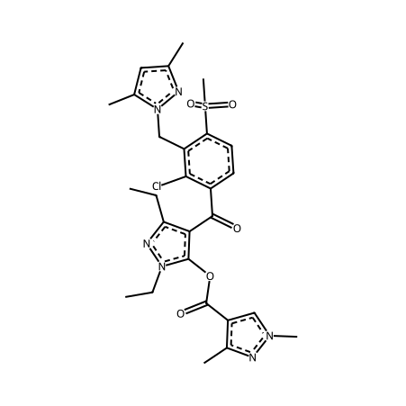 CCc1nn(CC)c(OC(=O)c2cn(C)nc2C)c1C(=O)c1ccc(S(C)(=O)=O)c(Cn2nc(C)cc2C)c1Cl